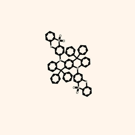 O=S1(=O)c2ccccc2Sc2cc(N3c4ccccc4C(c4ccccc4)(c4ccccc4)c4cc5c(cc43)C(c3ccccc3)(c3ccccc3)c3ccccc3N5c3ccc4c(c3)Sc3ccccc3S4(=O)=O)ccc21